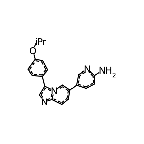 CC(C)Oc1ccc(-c2cnc3ccc(-c4ccc(N)nc4)cn23)cc1